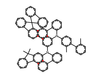 Cc1ccccc1-c1ccc(N(c2cc(-c3ccc4c(c3)C3(c5ccccc5-c5ccccc53)c3ccccc3-4)cc(N(c3ccc4c(c3)C(C)(C)c3ccccc3-4)c3ccccc3-c3ccccc3)c2)c2ccccc2-c2ccccc2)cc1C